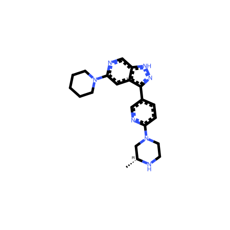 C[C@@H]1CN(c2ccc(-c3n[nH]c4cnc(N5CCCCC5)cc34)cn2)CCN1